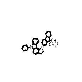 CC1(C)c2cc(N3CCc4ccc5c(c43)c3ccccc3n5-c3ccccc3)ccc2C2C=CC=CC21